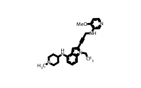 COc1ccncc1NCC#Cc1cc2c(NC3CCN(C)CC3)cccc2n1CC(F)(F)F